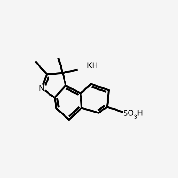 CC1=Nc2ccc3cc(S(=O)(=O)O)ccc3c2C1(C)C.[KH]